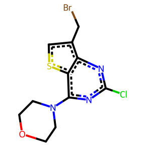 Clc1nc(N2CCOCC2)c2scc(CBr)c2n1